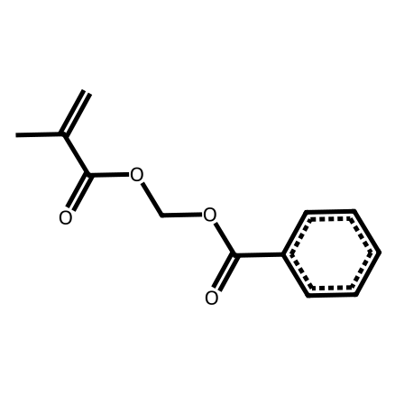 C=C(C)C(=O)OCOC(=O)c1ccccc1